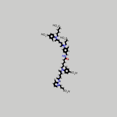 C\C(=C/C=C/C(C)=[N+](\CCCS(=O)(=O)O)c1ccc(CNC(=O)CCCCCN(/C(C)=C/C=C/C(C)=N/c2c(C)ccc[n+]2CCCS(=O)(=O)O)c2ccc(S(=O)(=O)O)cc2C)cc1C)N(CCCCCC(=O)O)c1ccc(S(=O)(=O)O)cc1C